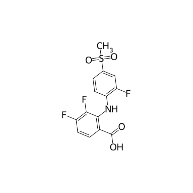 CS(=O)(=O)c1ccc(Nc2c(C(=O)O)ccc(F)c2F)c(F)c1